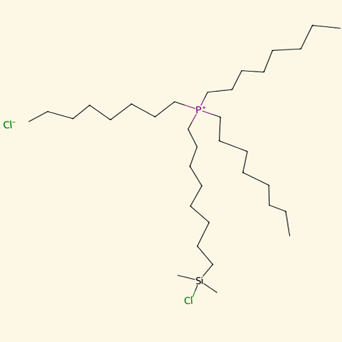 CCCCCCCC[P+](CCCCCCCC)(CCCCCCCC)CCCCCCCC[Si](C)(C)Cl.[Cl-]